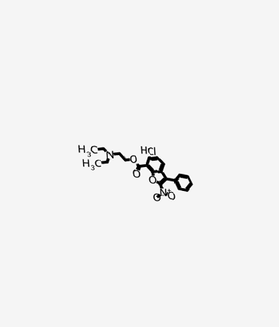 CCN(CC)CCOC(=O)c1cccc2c(-c3ccccc3)c([N+](=O)[O-])oc12.Cl